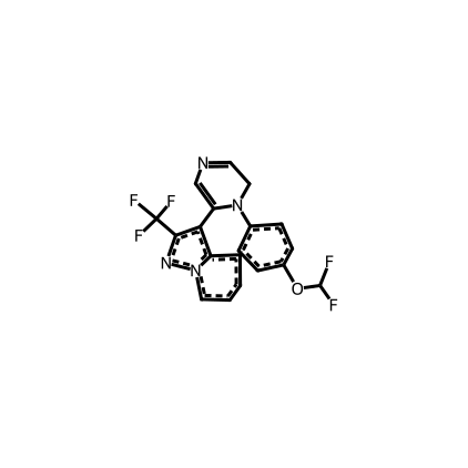 FC(F)Oc1ccc(N2CC=NC=C2c2c(C(F)(F)F)nn3ccccc23)cc1